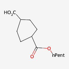 CCCCCOC(=O)C1CCC(C(=O)O)CC1